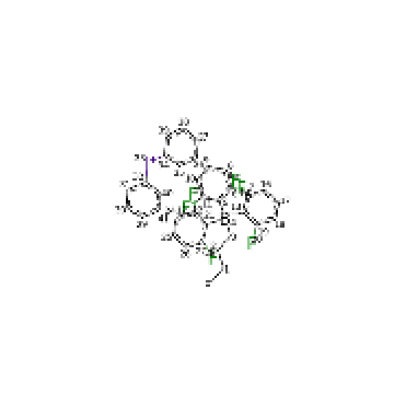 CCCC[B-](c1c(F)cccc1F)(c1c(F)cccc1F)c1c(F)cccc1F.c1ccc([I+]c2ccccc2)cc1